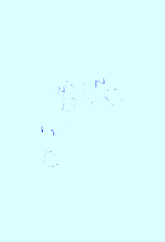 CC(C)(NC(=O)c1cc2[nH]nc(NC(=O)c3ccccc3N)c2o1)c1ccccc1